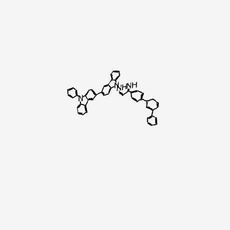 N=C(/C=C\Nn1c2ccccc2c2cc(-c3ccc4c(c3)c3ccccc3n4-c3ccccc3)ccc21)c1ccc(C2C=C(c3ccccc3)C=CC2)cc1